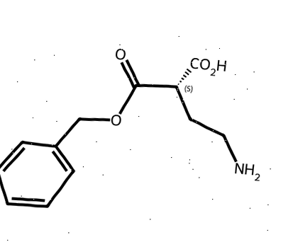 NCC[C@@H](C(=O)O)C(=O)OCc1ccccc1